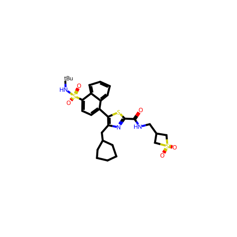 CC(C)(C)NS(=O)(=O)c1ccc(-c2sc(C(=O)NCC3CS(=O)(=O)C3)nc2CC2CCCCC2)c2ccccc12